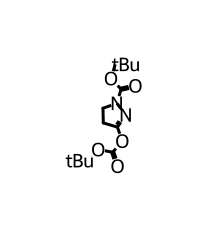 CC(C)(C)OC(=O)OC1=NN(C(=O)OC(C)(C)C)CC1